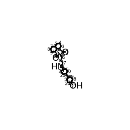 O=C1c2cccc3cccc(c23)C(=O)N1CCCNc1ccc(-c2ccc(O)cc2)cc1